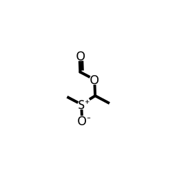 CC(OC=O)[S+](C)[O-]